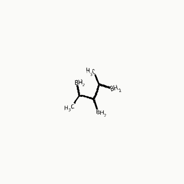 BC(C)C(B)C(B)C